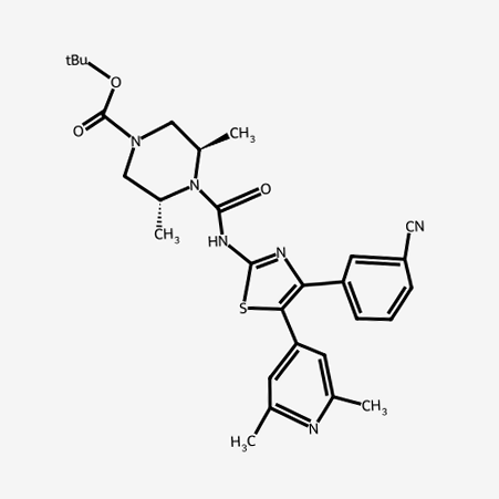 Cc1cc(-c2sc(NC(=O)N3[C@H](C)CN(C(=O)OC(C)(C)C)C[C@H]3C)nc2-c2cccc(C#N)c2)cc(C)n1